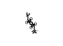 CCN(CC)CCCn1c(=O)c2cc3c(=O)n(CCC[N+](CC)(CC)CC)c(=O)c3cc2c1=O